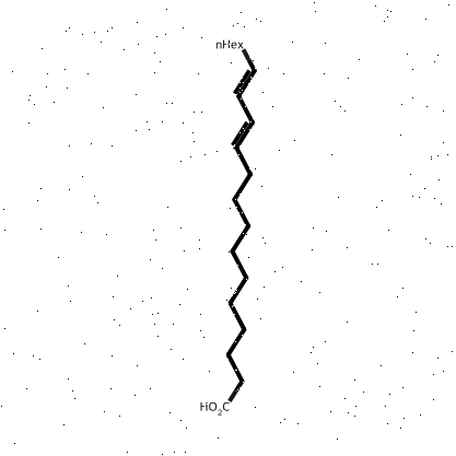 CCCCCC/C=C/C=C/CCCCCCCCCC(=O)O